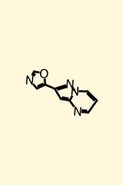 c1cnc2cc(-c3cnco3)nn2c1